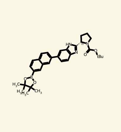 CC(C)(C)OC(=O)N1CCC[C@H]1c1nc2ccc(-c3ccc4ccc(B5OC(C)(C)C(C)(C)O5)cc4c3)cc2[nH]1